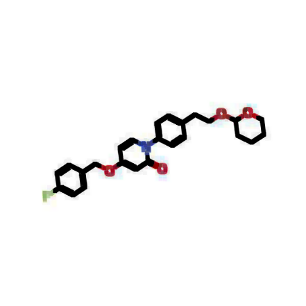 O=c1cc(OCc2ccc(F)cc2)ccn1-c1ccc(CCOC2CCCCO2)cc1